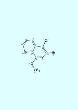 COc1cc(Br)c(Cl)c2cccnc12